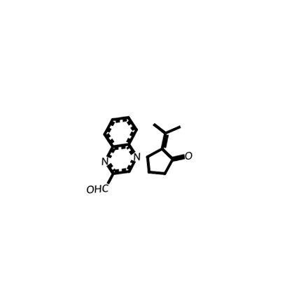 CC(C)=C1CCCC1=O.O=Cc1cnc2ccccc2n1